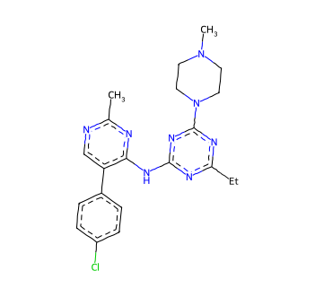 CCc1nc(Nc2nc(C)ncc2-c2ccc(Cl)cc2)nc(N2CCN(C)CC2)n1